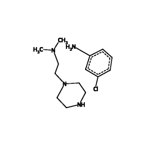 CN(C)CCN1CCNCC1.Nc1cccc(Cl)c1